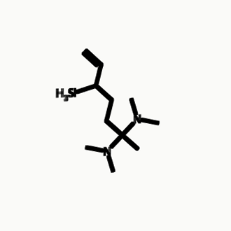 C=CC([SiH3])CCC(C)(N(C)C)N(C)C